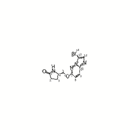 O=C1CC[C@H](COc2ccc3ncc(Br)n3n2)N1